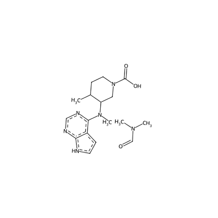 CC1CCN(C(=O)O)CC1N(C)c1ncnc2[nH]ccc12.CN(C)C=O